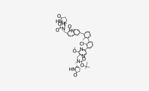 COc1nc(-c2cccc(-c3cccc(-c4ccn5c(=O)c(CN(C[C@@H]6CCC(=O)N6)C(=O)O)ccc5c4)c3C)c2Cl)cnc1CN(C[C@@H]1CCC(=O)N1)C(=O)OC(C)(C)C